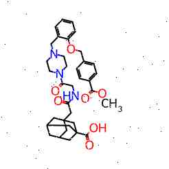 COC(=O)c1ccc(COc2ccccc2CN2CCN(C(=O)CNC(=O)CC34CC5CC(C3)CC(C(=O)O)(C5)C4)CC2)cc1